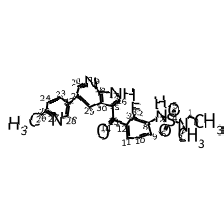 CCN(C)S(=O)(=O)Nc1cccc(C(=O)c2c[nH]c3ncc(-c4ccc(C)nc4)cc23)c1F